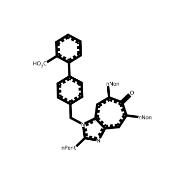 CCCCCCCCCc1cc2nc(CCCCC)n(Cc3ccc(-c4ccccc4C(=O)O)cc3)c2cc(CCCCCCCCC)c1=O